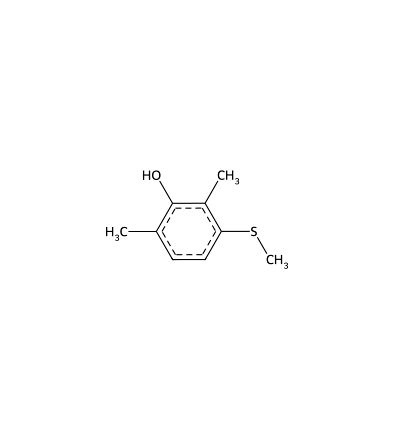 CSc1ccc(C)c(O)c1C